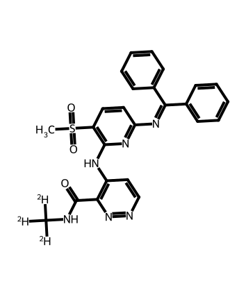 [2H]C([2H])([2H])NC(=O)c1nnccc1Nc1nc(N=C(c2ccccc2)c2ccccc2)ccc1S(C)(=O)=O